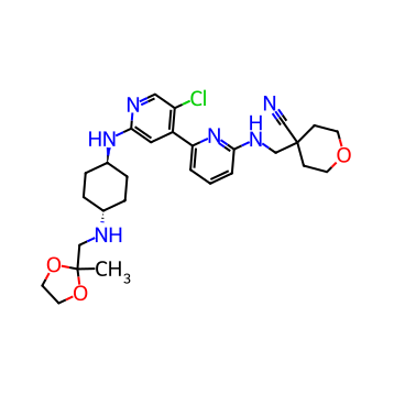 CC1(CN[C@H]2CC[C@H](Nc3cc(-c4cccc(NCC5(C#N)CCOCC5)n4)c(Cl)cn3)CC2)OCCO1